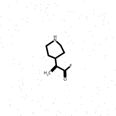 C=C(C(=O)F)C1CCNCC1